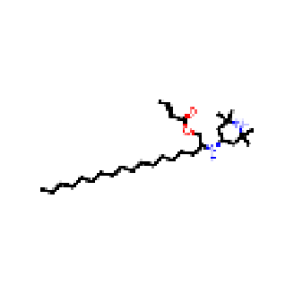 CC=CC(=O)OCC(CCCCCCCCCCCCCCCC)NC1CC(C)(C)NC(C)(C)C1